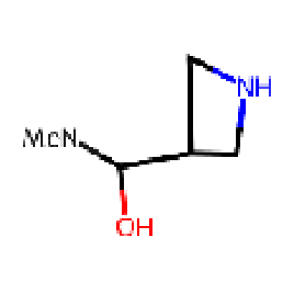 CNC(O)C1CNC1